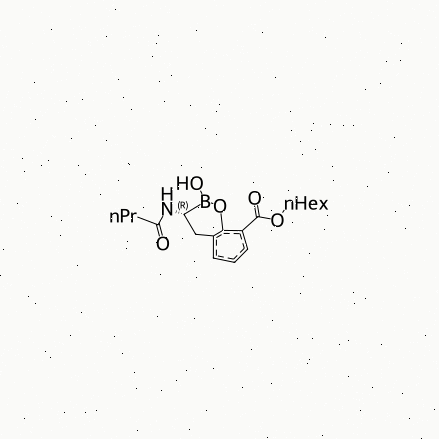 CCCCCCOC(=O)c1cccc2c1OB(O)[C@@H](NC(=O)CCC)C2